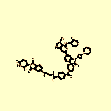 CC(C)n1cnc2cc(-c3ccc4c(c3)N([C@H]3C[C@@H](N5CCCCC5)C3)C(=O)C43CCN(C(=O)c4ccc(C(=O)NCCNc5ccc6c(c5)C(=O)N(C5CCC(=O)NC5=O)C6=O)cc4)CC3)nc(Nc3ccncc3F)c21